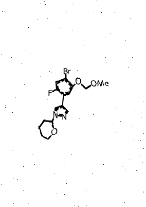 COCOc1cc(-c2cnn(C3CCCCO3)c2)c(F)cc1Br